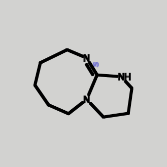 C1CC/N=C2/NCCCN2CC1